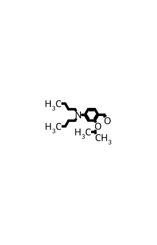 CCCCN(CCCC)c1ccc(C=O)c(OC(C)C)c1